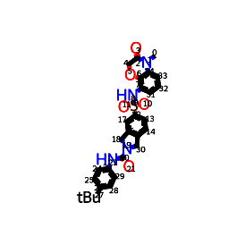 CN1C(=O)COc2c(NS(=O)(=O)c3ccc4c(c3)CN(C(=O)Nc3ccc(C(C)(C)C)cc3)C4)cccc21